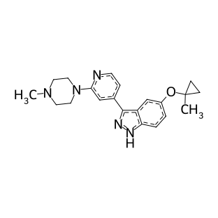 CN1CCN(c2cc(-c3n[nH]c4ccc(OC5(C)CC5)cc34)ccn2)CC1